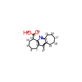 Cc1c2c(nc3c1CCCCC3C(=O)O)CCCCC2